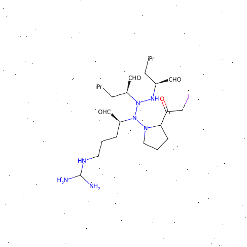 CC(C)C[C@@H](C=O)NN([C@H](C=O)CC(C)C)N([C@H](C=O)CCCNC(N)N)N1CCCC1C(=O)CI